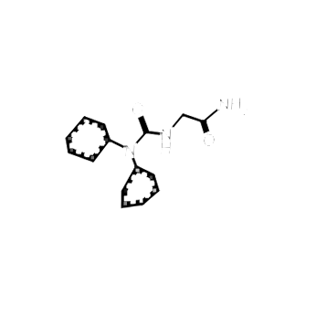 NC(=O)CNC(=O)N(c1ccccc1)c1ccccc1